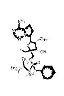 CCCCCN([C@@H](C)C(=O)O)P(=O)(OC[C@@]1(CF)O[C@@H](c2ccc3c(N)ncnn23)[C@H](O)[C@@H]1O)Oc1ccccc1